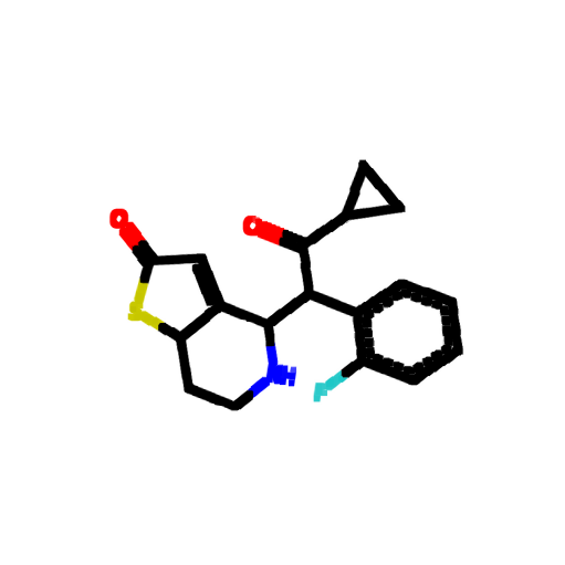 O=C1C=C2C(CCNC2C(C(=O)C2CC2)c2ccccc2F)S1